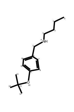 CCCCNCc1ccc(OC(C)(C)C)cc1